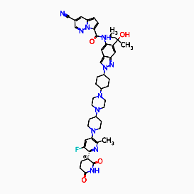 Cc1nc([C@H]2CCC(=O)NC2=O)c(F)cc1N1CCC(N2CCN(C3CCC(n4cc5cc(NC(=O)c6ccc7cc(C#N)cnn67)c(C(C)(C)O)cc5n4)CC3)CC2)CC1